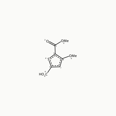 COC(=O)c1sc(C(=O)O)cc1OC